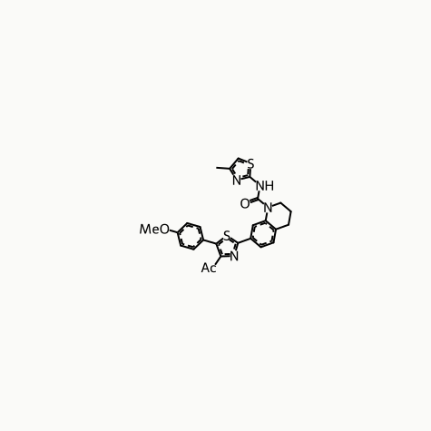 COc1ccc(-c2sc(-c3ccc4c(c3)N(C(=O)Nc3nc(C)cs3)CCC4)nc2C(C)=O)cc1